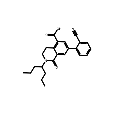 CCCC(CCC)N1CCc2c(C(=O)O)cc(-c3ccccc3C#N)cc2C1=O